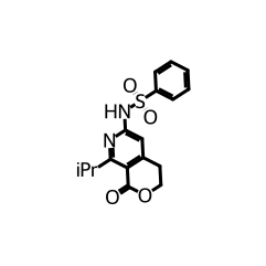 CC(C)c1nc(NS(=O)(=O)c2ccccc2)cc2c1C(=O)OCC2